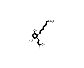 C[C@@H](O)CC[C@@H]1[C@@H](CCCCCCC(=O)O)[C@@H](O)C[C@H]1O